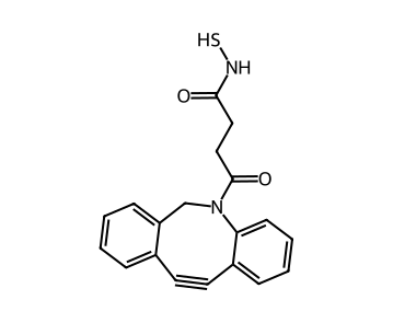 O=C(CCC(=O)N1Cc2ccccc2C#Cc2ccccc21)NS